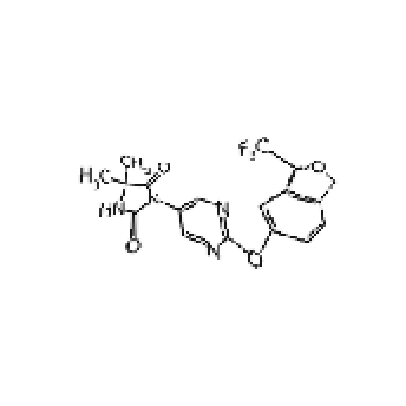 CC1(C)NC(=O)N(c2cnc(Oc3ccc4c(c3)C(C(F)(F)F)OC4)nc2)C1=O